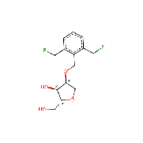 OC[C@H]1OC[C@H](OCc2c(CF)cccc2CF)[C@@H]1O